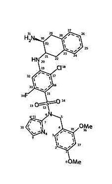 COc1ccc(CN(c2nccs2)S(=O)(=O)c2cc(Cl)c(NC3Cc4ccccc4C[C@@H]3N)cc2F)c(OC)c1